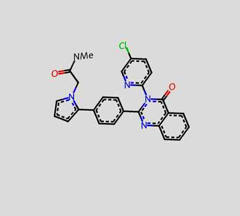 CNC(=O)Cn1cccc1-c1ccc(-c2nc3ccccc3c(=O)n2-c2ccc(Cl)cn2)cc1